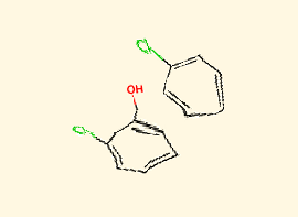 Clc1ccccc1.Oc1ccccc1Cl